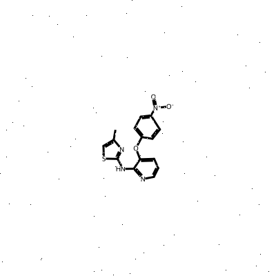 Cc1csc(Nc2ncccc2Oc2ccc([N+](=O)[O-])cc2)n1